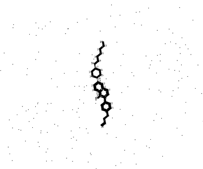 C=CCCc1ccc(-c2ccc3cc([C@H]4CC[C@H](CCCCCCC)CC4)ccc3c2F)cc1